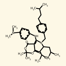 CC(C)CCc1ccc(CN(C(Nc2ccc(N(C)C)cc2)=C2C(=O)OC(C)(C)OC2=O)C(CC(C)C)CC(C)C)cc1